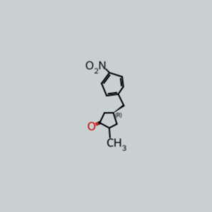 CC1C[C@H](Cc2ccc([N+](=O)[O-])cc2)CC1=O